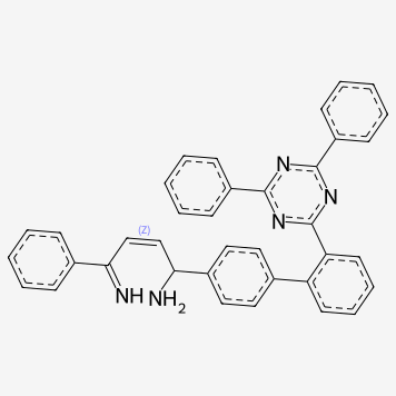 N=C(/C=C\C(N)c1ccc(-c2ccccc2-c2nc(-c3ccccc3)nc(-c3ccccc3)n2)cc1)c1ccccc1